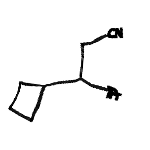 CC(C)C(CC#N)C1CCC1